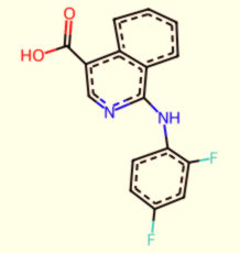 O=C(O)c1cnc(Nc2ccc(F)cc2F)c2ccccc12